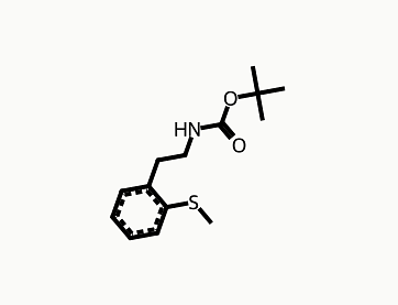 CSc1ccccc1CCNC(=O)OC(C)(C)C